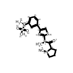 CN(C(=O)C1CCCN1C#N)c1nc(-c2cccc(N(C)S(C)(=O)=O)c2)cs1